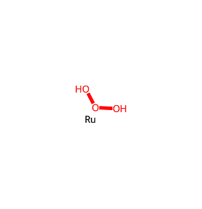 OOO.[Ru]